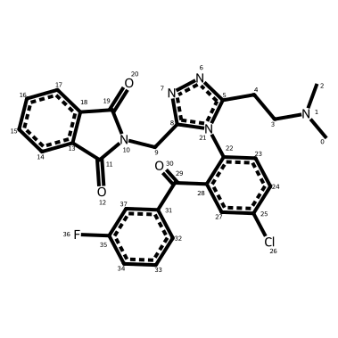 CN(C)CCc1nnc(CN2C(=O)c3ccccc3C2=O)n1-c1ccc(Cl)cc1C(=O)c1cccc(F)c1